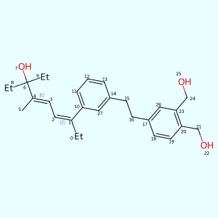 CC/C(=C/C=C(\C)C(O)(CC)CC)c1cccc(CCc2ccc(CO)c(CO)c2)c1